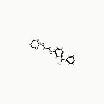 O=C(c1ccccc1)c1cccc(OCCOC2CCCCO2)c1